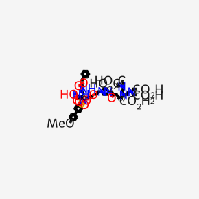 COc1ccc(-c2ccc(S(=O)(=O)N(OCCOCCN3CCN(CC(=O)CC[C@@H](C(=O)O)N(CCN(CC(=O)O)CC(=O)O)CCN(CC(=O)O)CC(=O)O)CC3)[C@H](CCNC(=O)OCc3ccccc3)C(=O)NO)cc2)cc1